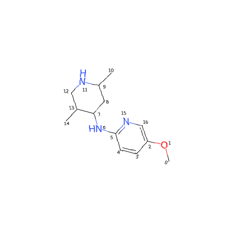 COc1ccc(NC2CC(C)NCC2C)nc1